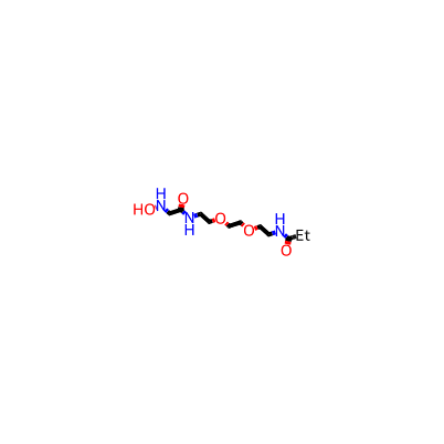 CCC(=O)NCCOCCOCCNC(=O)CNO